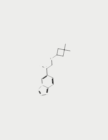 CC1(C)CC(NC[C@H](O)c2ccc3nnnn3c2)C1